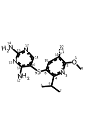 COc1nc(C(C)C)c(Sc2cnc(N)nc2N)cc1Cl